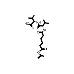 C=C(C)OC(=O)CCCCC(=O)N[C@H](C(=O)N[C@H](C(=O)O)C(C)C)C(C)C